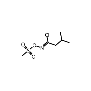 CC(C)C/C(Cl)=N/OS(C)(=O)=O